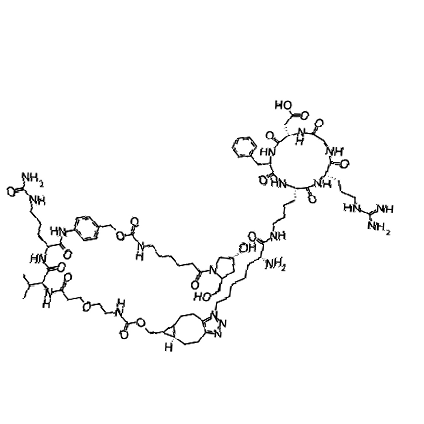 CC(C)[C@H](NC(=O)CCOCCNC(=O)OC[C@H]1C2CCc3c(nnn3CCCCC[C@@H](N)C(=O)NCCCC[C@@H]3NC(=O)[C@@H](Cc4ccccc4)NC(=O)[C@H](CC(=O)O)NC(=O)CNC(=O)[C@H](CCCNC(=N)N)NC3=O)CC[C@H]21)C(=O)N[C@@H](CCCNC(N)=O)C(=O)Nc1ccc(COC(=O)NCCCCCC(=O)N2C[C@H](O)C[C@H]2CO)cc1